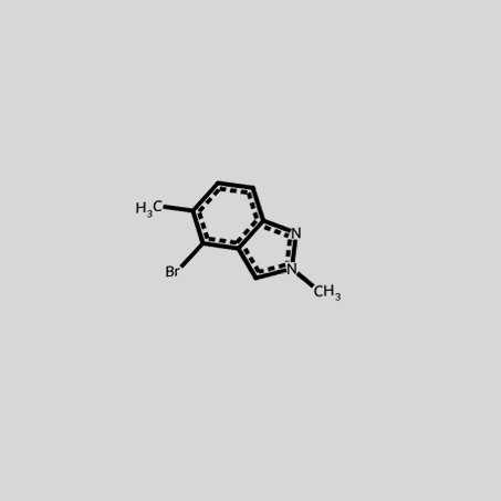 Cc1ccc2nn(C)cc2c1Br